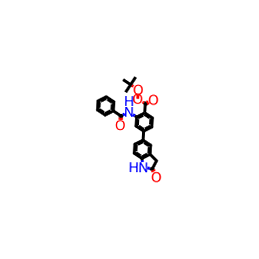 CC(C)(C)OOC(=O)c1ccc(-c2ccc3c(c2)CC(=O)N3)cc1NC(=O)c1ccccc1